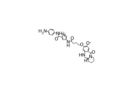 COc1cc2c(cc1OCCCC(=O)Nc1cc(C(=O)Nc3ccc(N)cc3)n(C)c1)NC[C@@H]1CCCCN1C2=O